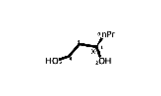 CCC[C@@H](O)CCO